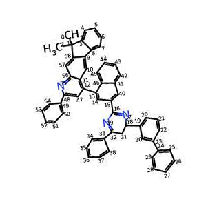 CC1(C)c2ccccc2-c2cc3c(-c4cc(C5=NC(c6cccc(-c7ccccc7)c6)CC(c6ccccc6)=N5)cc5ccccc45)cc(-c4ccccc4)nc3cc21